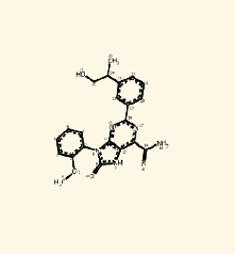 COc1ccccc1-n1c(=O)[nH]c2c(C(N)=O)nc(-c3cccc(C(C)CO)c3)nc21